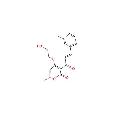 Cc1cccc(C=CC(=O)c2c(OCCO)cc(C)oc2=O)c1